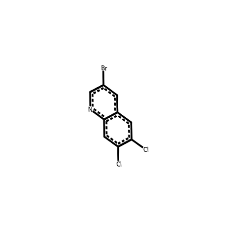 Clc1cc2cc(Br)cnc2cc1Cl